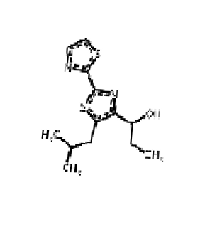 CCC(O)c1nc(-c2nccs2)sc1CC(C)C